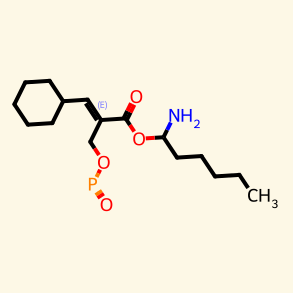 CCCCCC(N)OC(=O)/C(=C/C1CCCCC1)COP=O